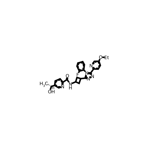 CCOc1ccc(-c2nnc(C3CC(NC(=O)c4ccc([C@@H](C)O)cn4)C3)n2-c2ccccc2F)nc1